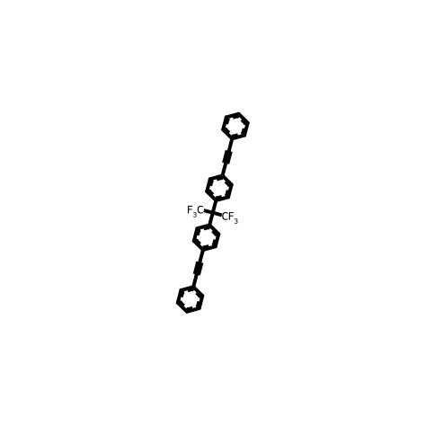 FC(F)(F)C(c1ccc(C#Cc2ccccc2)cc1)(c1ccc(C#Cc2ccccc2)cc1)C(F)(F)F